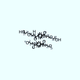 COCCNC(=O)c1cnc(C(=O)NCCOC)cn1.O=C(NCCOCCO)c1cnc(C(=O)NCCOCCO)cn1